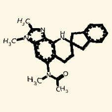 CC(=O)N(C)c1cc2c(nc(C)n2C)c2c1CCC1(Cc3ccccc3C1)N2